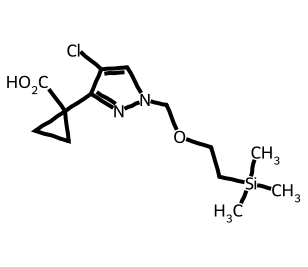 C[Si](C)(C)CCOCn1cc(Cl)c(C2(C(=O)O)CC2)n1